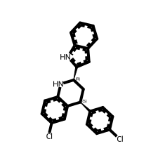 Clc1ccc([C@@H]2C[C@H](c3cc4ccccc4[nH]3)Nc3ccc(Cl)cc32)cc1